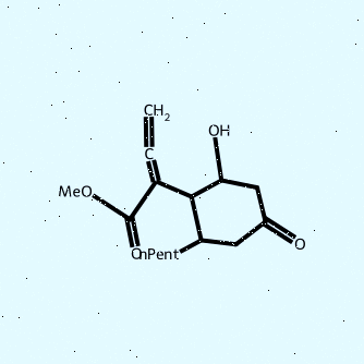 C=C=C(C(=O)OC)C1C(O)CC(=O)CC1CCCCC